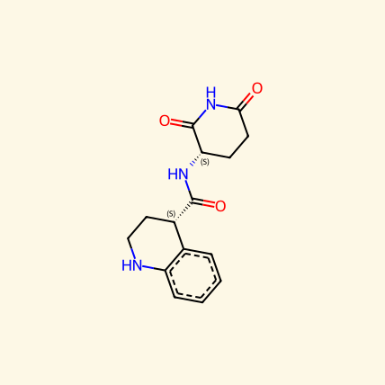 O=C1CC[C@H](NC(=O)[C@H]2CCNc3ccccc32)C(=O)N1